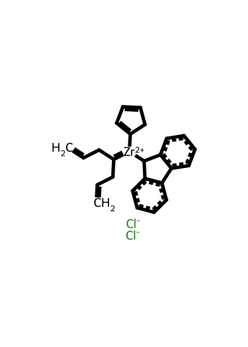 C=CC[C](CC=C)=[Zr+2]([C]1=CC=CC1)[CH]1c2ccccc2-c2ccccc21.[Cl-].[Cl-]